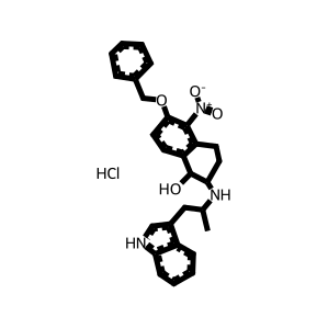 CC(Cc1c[nH]c2ccccc12)NC1CCc2c(ccc(OCc3ccccc3)c2[N+](=O)[O-])C1O.Cl